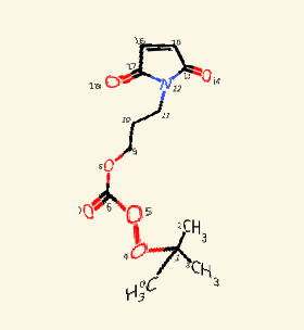 CC(C)(C)OOC(=O)OCCCN1C(=O)C=CC1=O